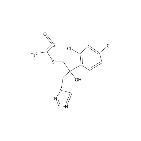 CC(SCC(O)(Cn1cncn1)c1ccc(Cl)cc1Cl)=S=O